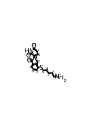 NCCCCCSc1cccc2c1CN(C1CCC(=O)NC1=O)C2=O